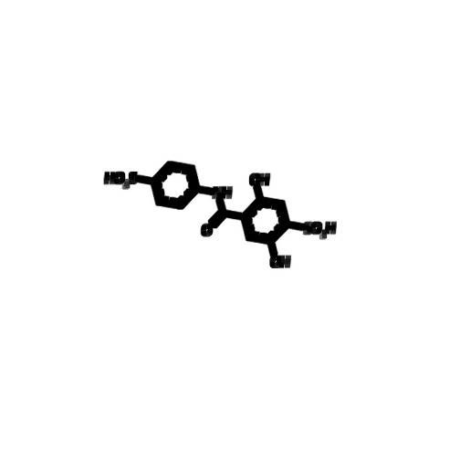 O=C(Nc1ccc(S(=O)(=O)O)cc1)c1cc(O)c(S(=O)(=O)O)cc1O